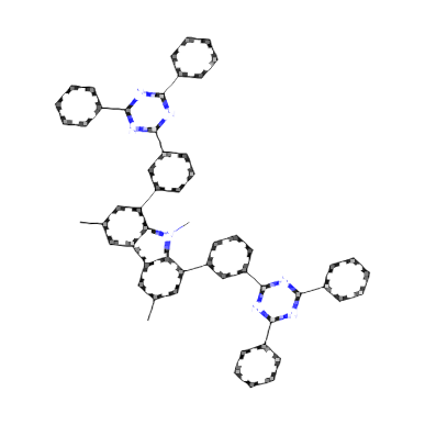 Cc1cc(-c2cccc(-c3nc(-c4ccccc4)nc(-c4ccccc4)n3)c2)c2c(c1)c1cc(C)cc(-c3cccc(-c4nc(-c5ccccc5)nc(-c5ccccc5)n4)c3)c1n2C